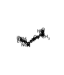 CCC1(C(=O)NC(C)C)CCN(c2ccc(-c3cc(-c4ccc(N5CCN(C(=O)CN6CCC(c7ccc8c(N9CCC(=O)NC9=O)nn(C)c8c7)CC6)CC5)cc4)cn4ncc(C#N)c34)cn2)CC1